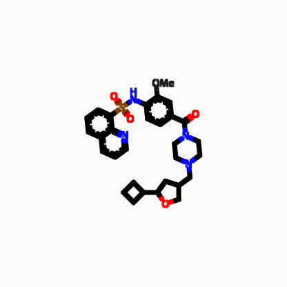 COc1cc(C(=O)N2CCN(CC3COC(C4CCC4)C3)CC2)ccc1NS(=O)(=O)c1cccc2cccnc12